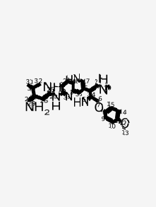 CN/C=C(\C(=N)COc1ccc(OC)cc1)C1=CNC2C=CC(N/C(N)=C/C(=C\N)C(C)C)=NC2=C1